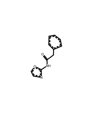 O=C(Cc1ccccc1)Nc1ncco1